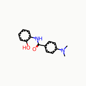 CN(C)c1ccc(C(=O)Nc2ccccc2O)cc1